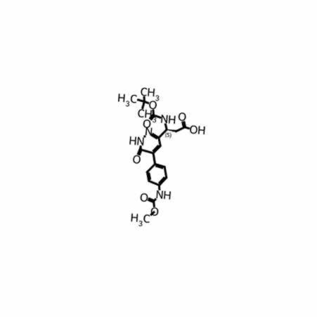 COC(=O)Nc1ccc(-c2cc([C@H](CC(=O)O)NC(=O)OC(C)(C)C)n[nH]c2=O)cc1